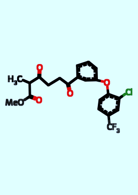 COC(=O)C(C)C(=O)CCC(=O)c1cccc(Oc2ccc(C(F)(F)F)cc2Cl)c1